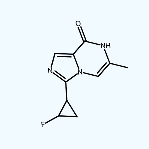 Cc1cn2c(C3CC3F)ncc2c(=O)[nH]1